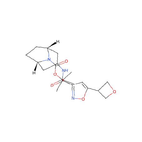 CC(C)(C)OC(=O)N1[C@@H]2CC[C@H]1CC(NC(=O)c1cc(C3COC3)on1)C2